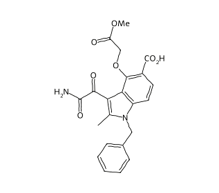 COC(=O)COc1c(C(=O)O)ccc2c1c(C(=O)C(N)=O)c(C)n2Cc1ccccc1